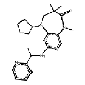 CC(Nc1ncc2c(n1)N(C1CCCC1)CC(C)(C)C(=O)N2C)c1ccccn1